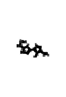 CCCCCCCCNN1NC=C(c2ncc([N+](=O)[O-])n2C)S1